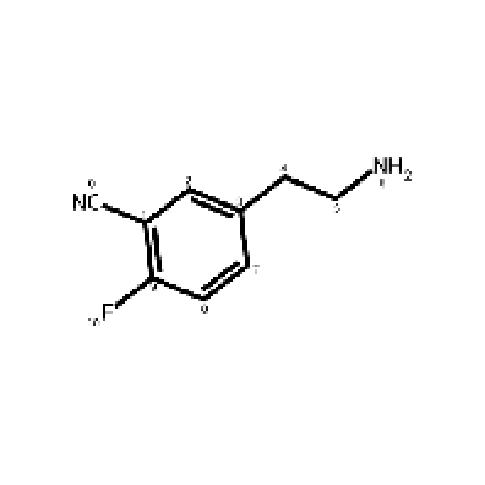 N#Cc1cc(CCN)ccc1F